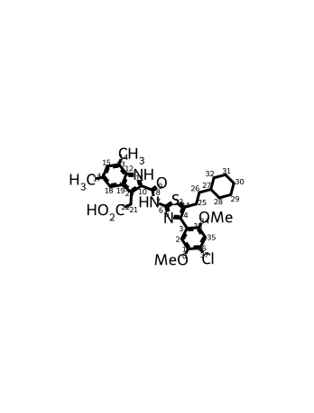 COc1cc(-c2nc(NC(=O)c3[nH]c4c(C)cc(C)cc4c3CC(=O)O)sc2CCC2CCCCC2)c(OC)cc1Cl